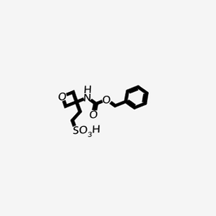 O=C(NC1(CCS(=O)(=O)O)COC1)OCc1ccccc1